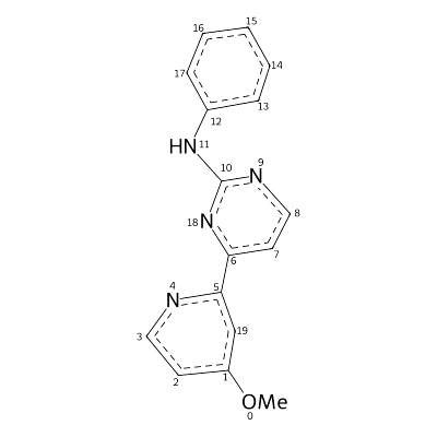 COc1ccnc(-c2ccnc(Nc3ccccc3)n2)c1